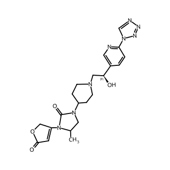 CC1CN(C2CCN(C[C@H](O)c3ccc(-n4cnnn4)nc3)CC2)C(=O)N1C1=CC(=O)OC1